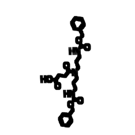 O=C(O)CCC(=O)N(CCCNC(=O)OCc1ccccc1)CCCNC(=O)OCc1ccccc1